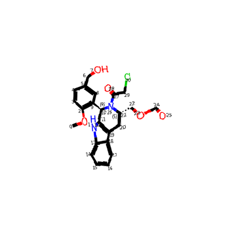 COc1ccc(CO)cc1[C@@H]1c2[nH]c3ccccc3c2C[C@@H](COC=O)N1C(=O)CCl